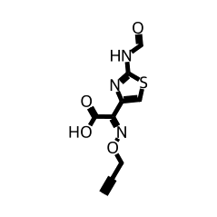 C#CCON=C(C(=O)O)c1csc(NC=O)n1